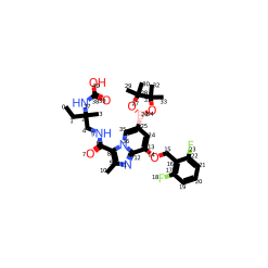 CCC(C)(CNC(=O)c1c(C)nc2c(OCc3c(F)cccc3F)cc(B3OC(C)(C)C(C)(C)O3)cn12)NC(=O)O